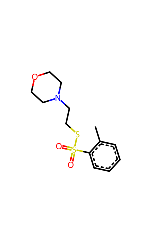 Cc1ccccc1S(=O)(=O)SCCN1CCOCC1